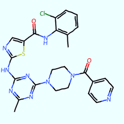 Cc1nc(Nc2ncc(C(=O)Nc3c(C)cccc3Cl)s2)nc(N2CCN(C(=O)c3ccncc3)CC2)n1